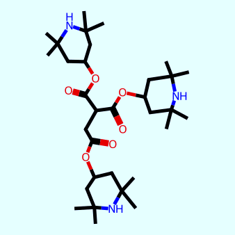 CC1(C)CC(OC(=O)CC(C(=O)OC2CC(C)(C)NC(C)(C)C2)C(=O)OC2CC(C)(C)NC(C)(C)C2)CC(C)(C)N1